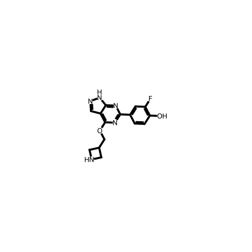 Oc1ccc(-c2nc(OCC3CNC3)c3cn[nH]c3n2)cc1F